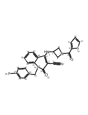 N#Cc1c(NC2CN(C(=O)c3cccs3)C2)c2ccccc2n(Cc2ccc(F)cc2)c1=O